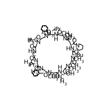 CC[C@H](C)[C@H]1C(=O)N[C@H](C(=O)N2CCCCC2)CC(=O)N(C)[C@H](C)C(=O)N[C@@H](CC(C)C)C(=O)N(C)[C@@H](Cc2ccccc2)C(=O)N(C)[C@@H](CC(C)C)C(=O)NCC(=O)N(C)[C@@H](C(C)C)C(=O)N(C)[C@@H](Cc2ccccc2)C(=O)N(C)[C@@H](C)C(=O)N[C@@H]([C@@H](C)O)C(=O)N(C)[C@@H](C)C(=O)N1C